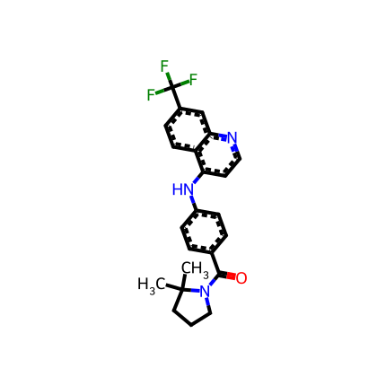 CC1(C)CCCN1C(=O)c1ccc(Nc2ccnc3cc(C(F)(F)F)ccc23)cc1